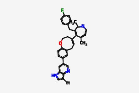 CCc1c[nH]c2cc(-c3ccc4c(c3)C/C=C(/C3=C(Cc5ccc(F)cc5)C(C)=NC=C=C3C)CCO4)cnc12